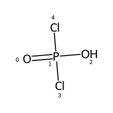 O=P(O)(Cl)Cl